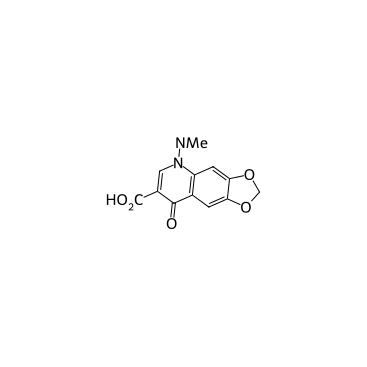 CNn1cc(C(=O)O)c(=O)c2cc3c(cc21)OCO3